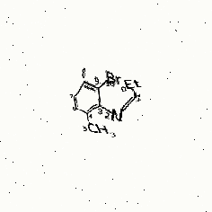 CC/C=N\c1c(C)cccc1Br